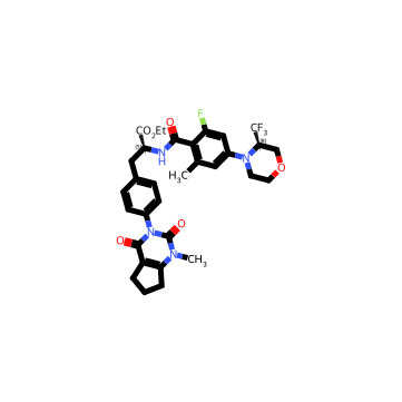 CCOC(=O)[C@H](Cc1ccc(-n2c(=O)c3c(n(C)c2=O)CCC3)cc1)NC(=O)c1c(C)cc(N2CCOC[C@@H]2C(F)(F)F)cc1F